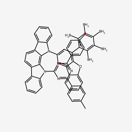 Bc1c(B)c(B)c(-c2cc(-n3c4ccccc4c4ccc5c6ccccc6n(-c6nc(-c7ccc(C)cc7)nc(-c7ccc(C)cc7)n6)c5c43)cc3c2oc2ccccc23)c(B)c1B